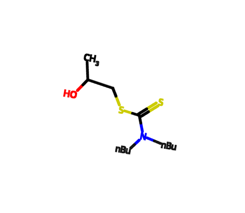 CCCCN(CCCC)C(=S)SCC(C)O